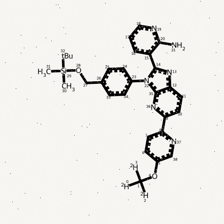 [2H]C([2H])([2H])Oc1ccc(-c2ccc3nc(-c4cccnc4N)n(-c4ccc(CO[Si](C)(C)C(C)(C)C)cc4)c3n2)nc1